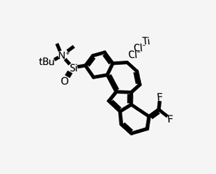 CC(C)(C)[N+](C)(C)[Si](=O)C1=CC=C2CC=CC3=C4C(=CC3=C2C1)C=CCC4=C(F)F.[Cl-].[Cl-].[Ti]